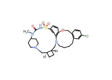 CN1C(=O)NS(=O)(=O)c2ccc3c(c2)N(CCCCc2cc(Cl)ccc2CO3)C[C@@H]2CC[C@H]2CN2CCC1CC2